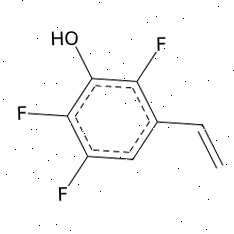 C=Cc1cc(F)c(F)c(O)c1F